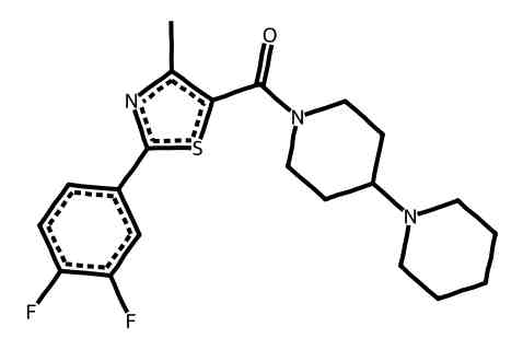 Cc1nc(-c2ccc(F)c(F)c2)sc1C(=O)N1CCC(N2CCCCC2)CC1